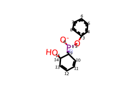 [O-]/[P+](Oc1ccccc1)=C1/C=CC=CC1O